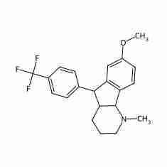 COc1ccc2c(c1)C(c1ccc(C(F)(F)F)cc1)C1CCCN(C)C21